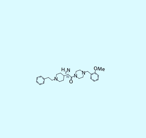 COc1ccccc1CN1CCN(C(=O)[C@@H](N)C2CCN(CCc3ccccc3)CC2)CC1